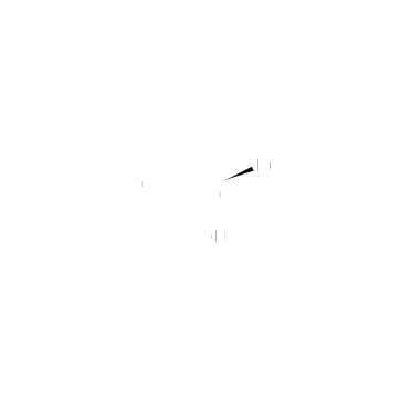 CC[C@@H](O)C[O]